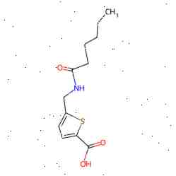 CCCCCC(=O)NCc1ccc(C(=O)O)s1